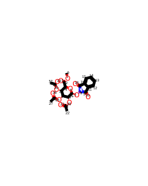 COC(=O)C1O[C@@H](ON2C(=O)c3ccccc3C2=O)[C@H](OC(C)=O)[C@@H](OC(C)=O)[C@@H]1OC(C)=O